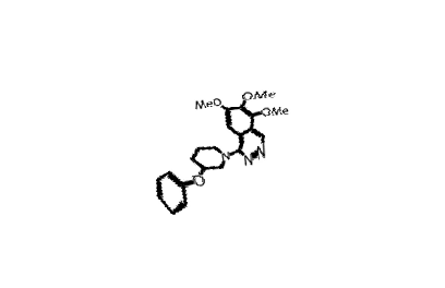 COc1cc2c(N3CCCC(Oc4ccccc4)C3)nncc2c(OC)c1OC